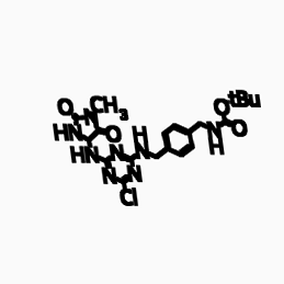 CN1C(=O)NC(Nc2nc(Cl)nc(NCc3ccc(CNC(=O)OC(C)(C)C)cc3)n2)C1=O